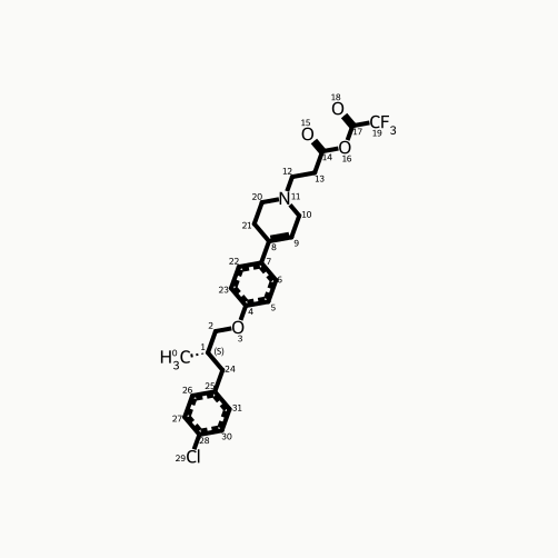 C[C@H](COc1ccc(C2=CCN(CCC(=O)OC(=O)C(F)(F)F)CC2)cc1)Cc1ccc(Cl)cc1